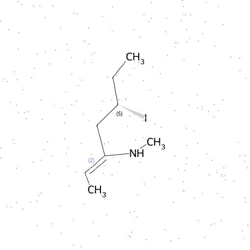 C/C=C(/C[C@@H](I)CC)NC